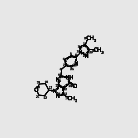 Cc1cn(-c2ccc(Cc3nc4c(c(C)nn4C4CCOCC4)c(=O)[nH]3)cn2)nc1C